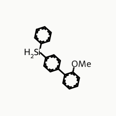 COc1ccccc1-c1ccc([SiH2]c2ccccc2)cc1